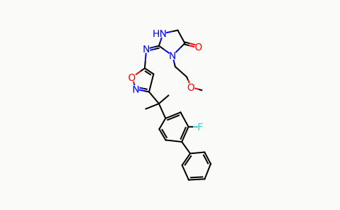 COCCN1C(=O)CNC1=Nc1cc(C(C)(C)c2ccc(-c3ccccc3)c(F)c2)no1